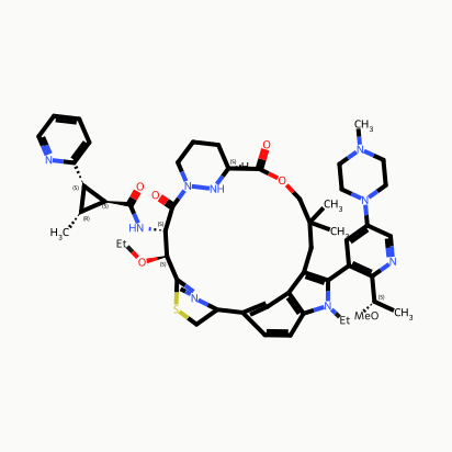 CCO[C@@H]1C2=NC(CS2)c2ccc3c(c2)c(c(-c2cc(N4CCN(C)CC4)cnc2[C@H](C)OC)n3CC)CC(C)(C)COC(=O)[C@@H]2CCCN(N2)C(=O)[C@H]1NC(=O)[C@H]1[C@H](C)[C@@H]1c1ccccn1